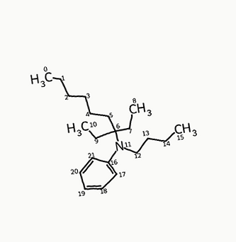 CCCCCCC(CC)(CC)N(CCCC)c1ccccc1